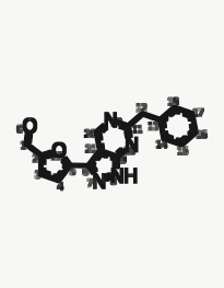 O=Cc1ccc(-c2n[nH]c3nc(Cc4ccccc4)ncc23)o1